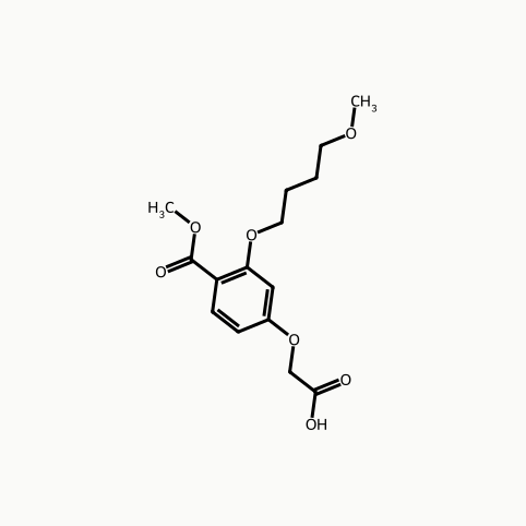 COCCCCOc1cc(OCC(=O)O)ccc1C(=O)OC